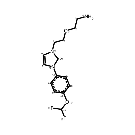 NCCOCCN1C=CN(c2ccc(OC(F)F)cc2)C1